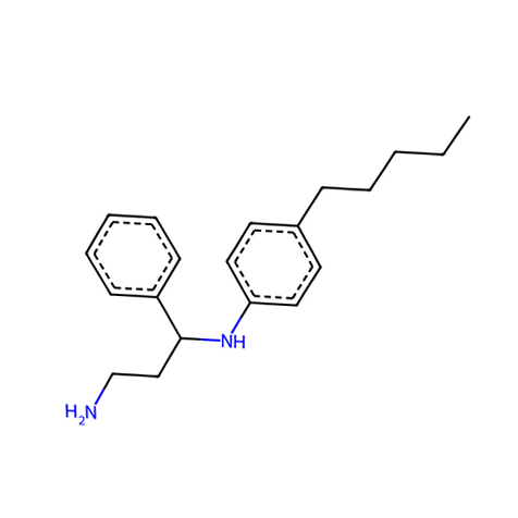 CCCCCc1ccc(NC(CCN)c2ccccc2)cc1